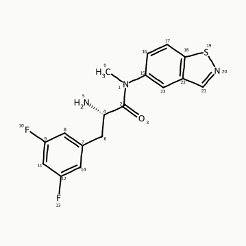 CN(C(=O)[C@@H](N)Cc1cc(F)cc(F)c1)c1ccc2sncc2c1